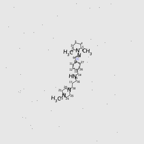 CC1CCCC(C)N1/N=C/c1ccc(CNCCCN2CCN(C)CC2)cc1